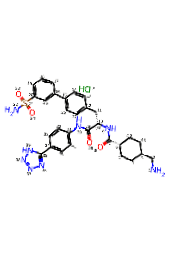 Cl.NC[C@H]1CC[C@H](C(=O)N[C@@H](Cc2ccc(-c3cccc(S(N)(=O)=O)c3)cc2)C(=O)Nc2ccc(-c3nnn[nH]3)cc2)CC1